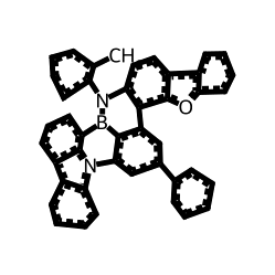 Cc1ccccc1N1B2c3c(cc(-c4ccccc4)cc3-n3c4ccccc4c4cccc2c43)-c2c1ccc1c2oc2ccccc21